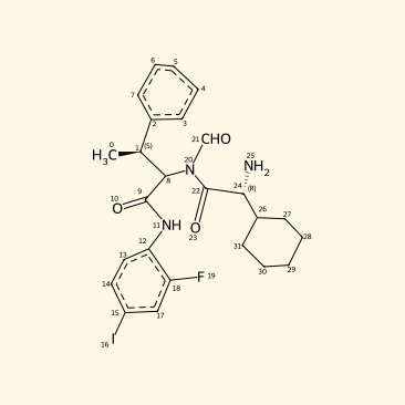 C[C@@H](c1ccccc1)C(C(=O)Nc1ccc(I)cc1F)N(C=O)C(=O)[C@H](N)C1CCCCC1